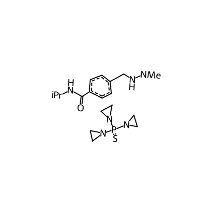 CNNCc1ccc(C(=O)NC(C)C)cc1.S=P(N1CC1)(N1CC1)N1CC1